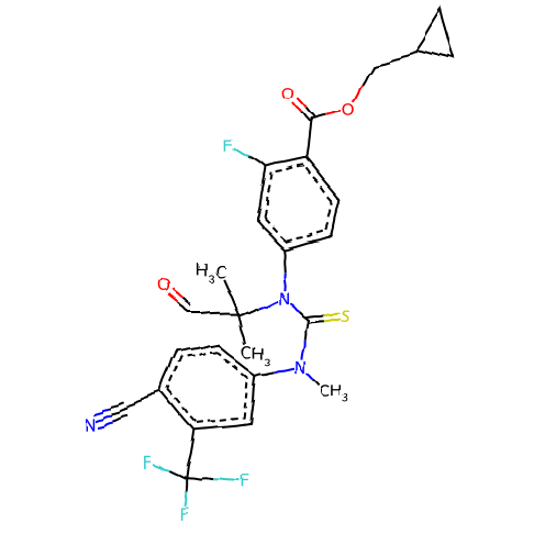 CN(C(=S)N(c1ccc(C(=O)OCC2CC2)c(F)c1)C(C)(C)C=O)c1ccc(C#N)c(C(F)(F)F)c1